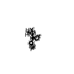 CNC(=O)C(NC(=O)c1nc(-c2cccc(OC(F)(F)F)c2)n2c1CN(C)CCC2)C(C)(C)C